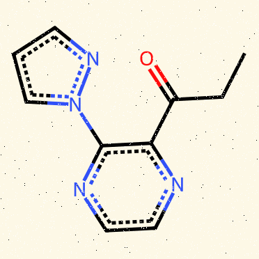 CCC(=O)c1nccnc1-n1cccn1